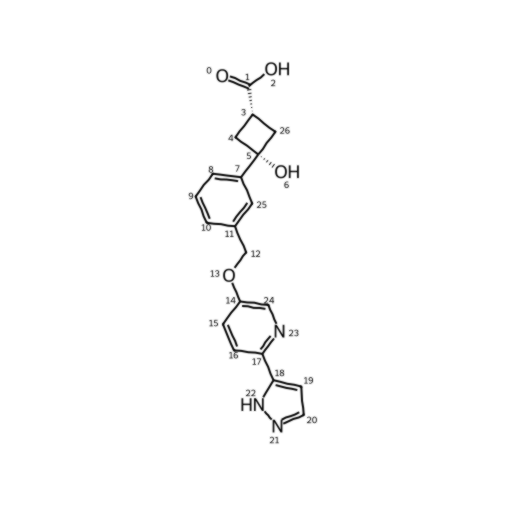 O=C(O)[C@H]1C[C@](O)(c2cccc(COc3ccc(-c4ccn[nH]4)nc3)c2)C1